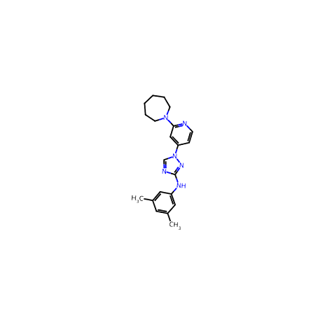 Cc1cc(C)cc(Nc2ncn(-c3ccnc(N4CCCCCC4)c3)n2)c1